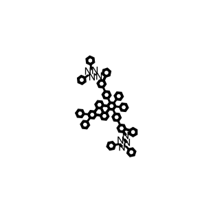 c1ccc(-c2nc(-c3ccccc3)nc(-n3c4ccccc4c4cc(-c5ccc(-c6c(-c7ccccc7)c(-c7ccccc7)c(-c7ccc(-c8ccc9c(c8)c8ccccc8n9-c8nc(-c9ccccc9)nc(-c9ccccc9)n8)cc7)c7c8cccc9c%10cc(-c%11ccccc%11)c(-c%11ccccc%11)cc%10c%10cccc(c67)c%10c98)cc5)ccc43)n2)cc1